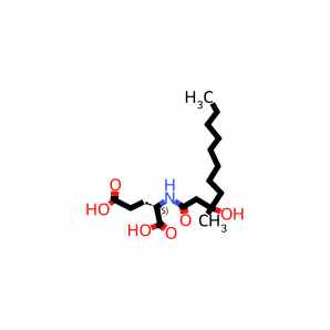 CCCCCCCCC(C)(O)CC(=O)N[C@@H](CCC(=O)O)C(=O)O